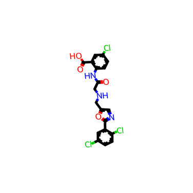 O=C(CNCc1cnc(-c2cc(Cl)ccc2Cl)o1)Nc1ccc(Cl)cc1C(=O)O